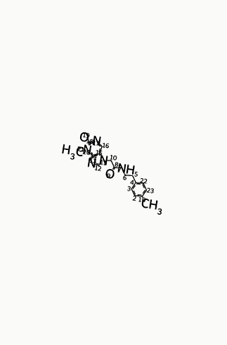 Cc1ccc(CCNC(=O)Cn2cnc3c2cnc(=O)n3C)cc1